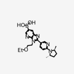 CCOCCn1c(-c2ccc(N3[C@@H](C)CC[C@@H]3C)nc2)nc2cc(B(O)O)cnc21